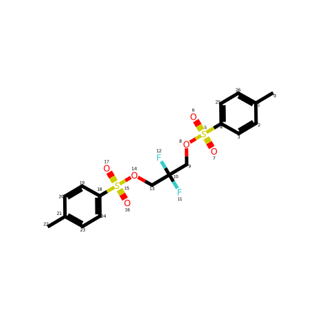 Cc1ccc(S(=O)(=O)OCC(F)(F)COS(=O)(=O)c2ccc(C)cc2)cc1